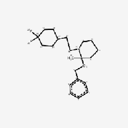 CC1(OCc2ccccc2)CCCCN1CCC1CCC(F)(F)CC1